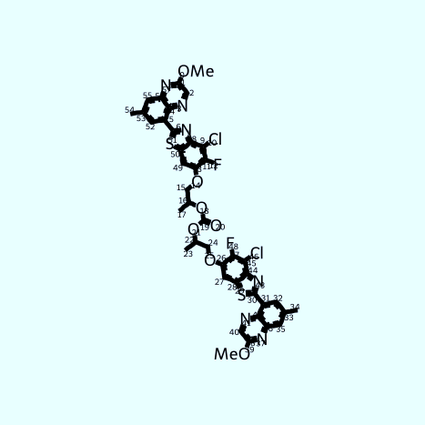 COc1cnc2c(-c3nc4c(Cl)c(F)c(OCC(C)OC(=O)OC(C)COc5cc6sc(-c7cc(C)cc8nc(OC)cnc78)nc6c(Cl)c5F)cc4s3)cc(C)cc2n1